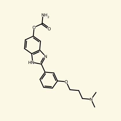 CN(C)CCCOc1cccc(-c2nc3cc(OC(N)=O)ccc3[nH]2)c1